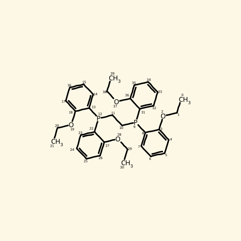 CCOc1ccccc1P(CCP(c1ccccc1OCC)c1ccccc1OCC)c1ccccc1OCC